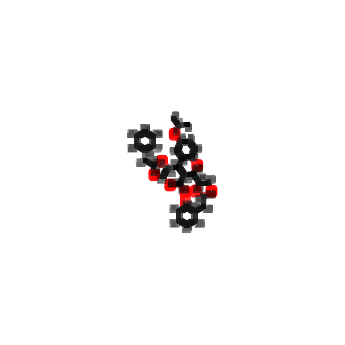 CC(C)Oc1ccc2c(c1)C(C1=COC(Cc3ccccc3)O1)=C(C(=O)O)C(C1=COC(Cc3ccccc3)O1)O2